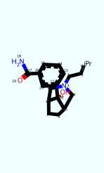 CC(C)CCN1CC2CCC(C1)C2(O)c1cccc(C(N)=O)c1